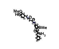 COc1cc(/C=C/C(=O)CC(=O)/C=C/c2ccc(OC(=O)[C@@H](N)Cc3ccccc3)c(OC)c2)ccc1O